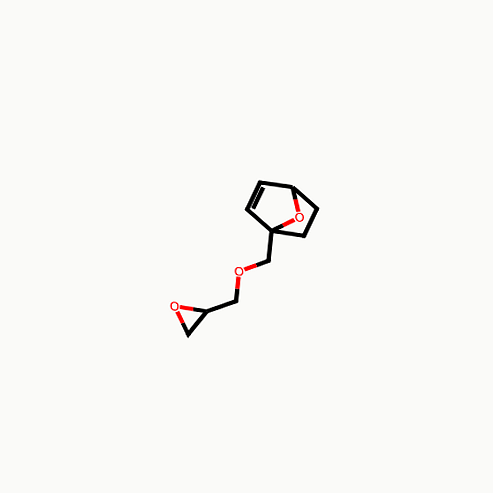 C1=CC2(COCC3CO3)CCC1O2